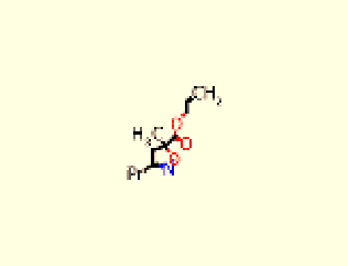 C=CCOC(=O)C1(C)CC(C(C)C)=NO1